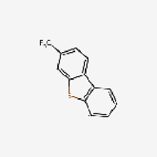 FC(F)(F)c1ccc2c(c1)sc1[c]cccc12